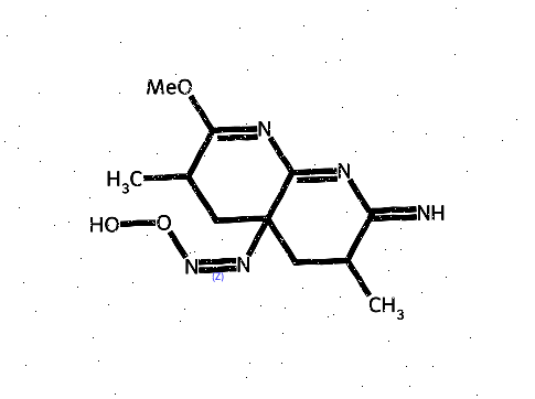 COC1=NC2=NC(=N)C(C)CC2(/N=N\OO)CC1C